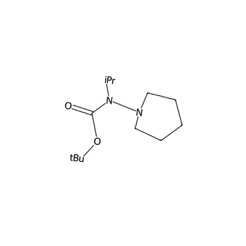 CC(C)N(C(=O)OC(C)(C)C)N1CCCCC1